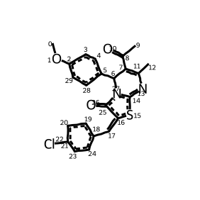 COc1ccc(C2C(C(C)=O)=C(C)N=c3s/c(=C/c4ccc(Cl)cc4)c(=O)n32)cc1